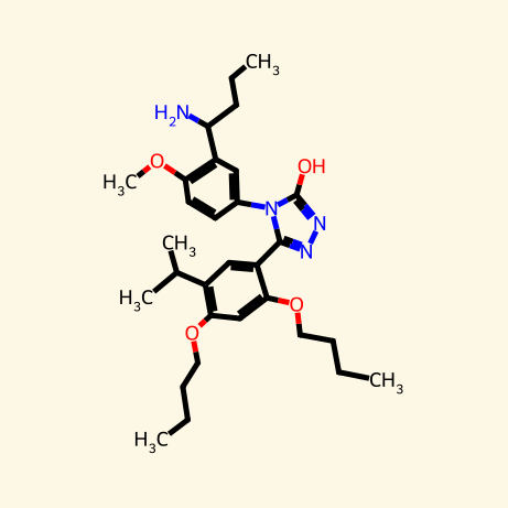 CCCCOc1cc(OCCCC)c(C(C)C)cc1-c1nnc(O)n1-c1ccc(OC)c(C(N)CCC)c1